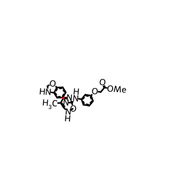 COC(=O)COc1cccc(NC23N=CC(C)=C(NO2)N3c2ccc3c(c2)NCO3)c1